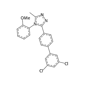 COc1ccccc1-n1c(C)nnc1-c1ccc(-c2cc(Cl)cc(Cl)c2)cc1